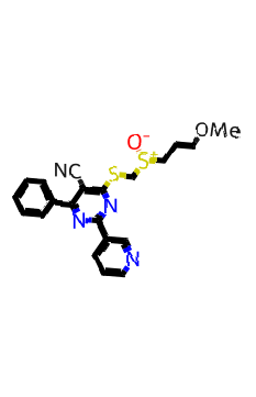 COCCC[S+]([O-])CSc1nc(-c2cccnc2)nc(-c2ccccc2)c1C#N